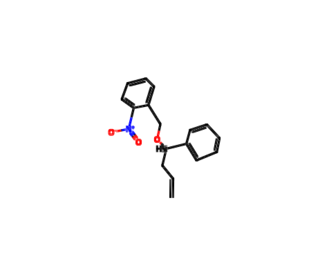 C=CC[SiH](OCc1ccccc1[N+](=O)[O-])c1ccccc1